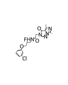 CC1=C2C(=O)N(CC(=O)NCC(F)COc3cccc(Cl)c3)C=N[N+]2C=N1